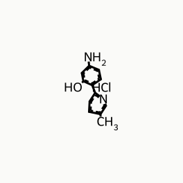 Cc1ccc(-c2ccc(N)cc2O)nc1.Cl